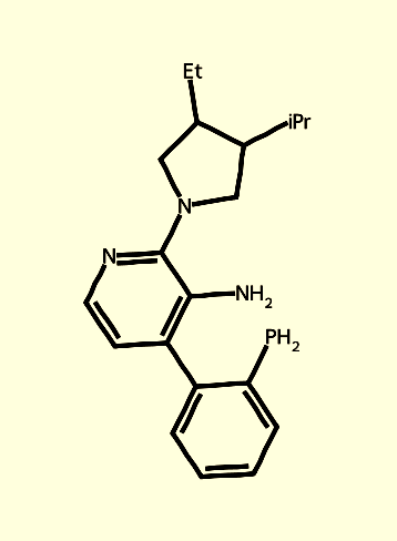 CCC1CN(c2nccc(-c3ccccc3P)c2N)CC1C(C)C